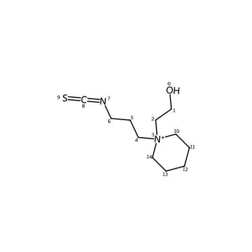 OCC[N+]1(CCCN=C=S)CCCCC1